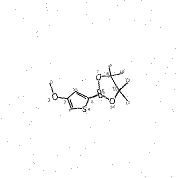 COc1csc(B2OC(C)(C)C(C)(C)O2)c1